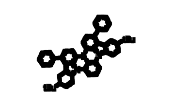 CC(C)(C)c1ccc2c(c1)c1c(-c3ccccc3)ccc3c1n2-c1cccc2c1B3c1ccc(-c3ccccc3)c3c4c(n-2c13)C=CC(C(C)(C)C)C4